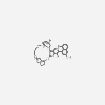 Oc1cc(-c2ncc3c4nc(nc3c2F)OC[C@]23CCCN2C[C@@H](C3)OCCCOC[C@@]23CC[C@@H](CN4C2)N3)c2c(F)cccc2c1